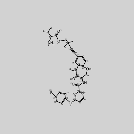 CC(C)[C@H](N)C(=O)OCC(C)(C)C#Cc1ccc2c(c1)N(C)C(=O)C(NC(=O)c1cc(Oc3ccc(F)cc3)ccn1)CO2